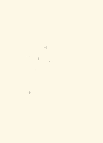 CC1CCC(O)C(OP(=O)(O)O)C1